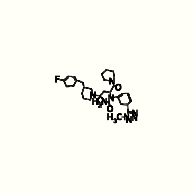 Cn1nnnc1-c1cccc(N(C(N)=O)[C@@H](CC(=O)N2CCC[C@@H](Cc3ccc(F)cc3)C2)C(=O)N2CCCCC2)c1